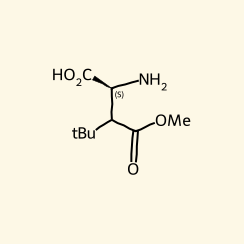 COC(=O)C([C@H](N)C(=O)O)C(C)(C)C